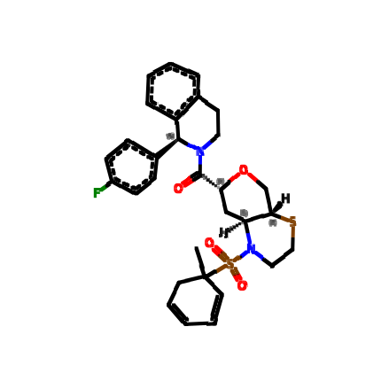 CC1(S(=O)(=O)N2CCS[C@H]3CO[C@@H](C(=O)N4CCc5ccccc5[C@@H]4c4ccc(F)cc4)C[C@@H]32)C=CC=CC1